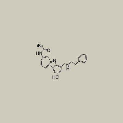 CCC(C)C(=O)Nc1cccc2c3cccc(CNCCc4ccccc4)c3nc-2c1.Cl